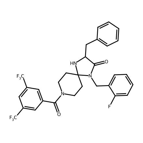 O=C(c1cc(C(F)(F)F)cc(C(F)(F)F)c1)N1CCC2(CC1)NC(Cc1ccccc1)C(=O)N2Cc1ccccc1F